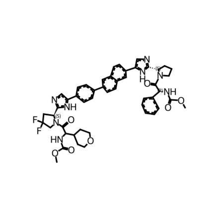 COC(=O)NC(C(=O)N1CC(F)(F)C[C@H]1c1ncc(-c2ccc(-c3ccc4cc(-c5cnc([C@@H]6CCCN6C(=O)[C@H](NC(=O)OC)c6ccccc6)[nH]5)ccc4c3)cc2)[nH]1)C1CCOCC1